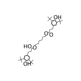 CC(C)(C)c1cc(CCC(=O)OCCCCCCOC(O)CCc2cc(C(C)(C)C)c(O)c(C(C)(C)C)c2)cc(C(C)(C)C)c1O